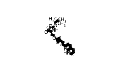 CC(C)(C)COC(=O)N[C@@H](CCOC1CC(CCc2ccc3c(n2)NCCC3)C1)C(=O)O